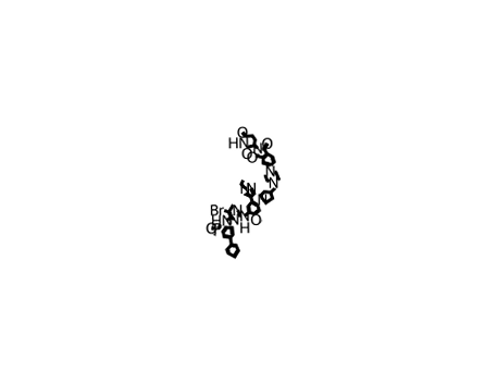 CCn1cc(-c2cc(Nc3ncc(Br)c(Nc4ccc(-c5ccccc5)cc4P(C)(C)=O)n3)c(OC)cc2N2CCC(CN3CCN(c4ccc5c(c4)C(=O)N(C4CCC(=O)NC4=O)C5=O)CC3)CC2)cn1